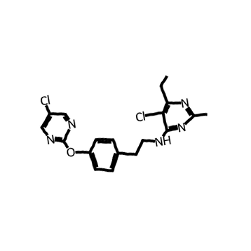 CCc1nc(C)nc(NCCc2ccc(Oc3ncc(Cl)cn3)cc2)c1Cl